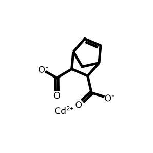 O=C([O-])C1C2C=CC(C2)C1C(=O)[O-].[Cd+2]